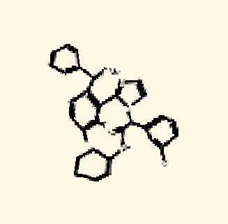 COC(c1ccccc1)c1ccc(F)c(F)c1-c1nccn1C(C(=O)NC1CCCCC1)c1cccc(Cl)c1